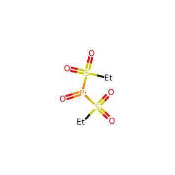 CCS(=O)(=O)[P](=O)S(=O)(=O)CC